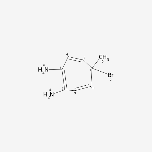 CC1(Br)C=CC(N)=C(N)C=C1